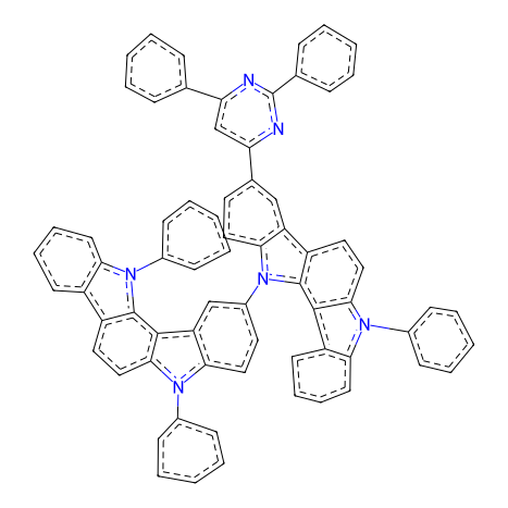 c1ccc(-c2cc(-c3ccc4c(c3)c3ccc5c(c6ccccc6n5-c5ccccc5)c3n4-c3ccc4c(c3)c3c(ccc5c6ccccc6n(-c6ccccc6)c53)n4-c3ccccc3)nc(-c3ccccc3)n2)cc1